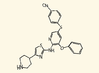 [C-]#[N+]c1ccc(Sc2cnc(Nc3nc(C4CCNCC4)cs3)c(Oc3ccccc3)c2)cc1